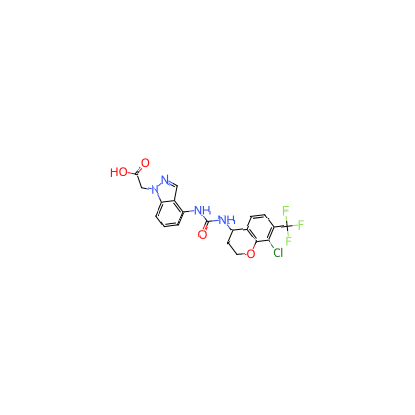 O=C(O)Cn1ncc2c(NC(=O)NC3CCOc4c3ccc(C(F)(F)F)c4Cl)cccc21